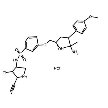 COc1ccc(C(C[C@@H](O)COc2cccc(S(=O)(=O)NC3CNC(C#N)C3Cl)c2)C(C)(C)N)cc1.Cl